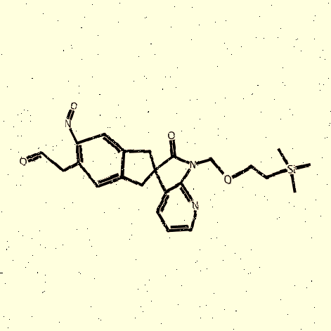 C[Si](C)(C)CCOCN1C(=O)C2(Cc3cc(CC=O)c(N=O)cc3C2)c2cccnc21